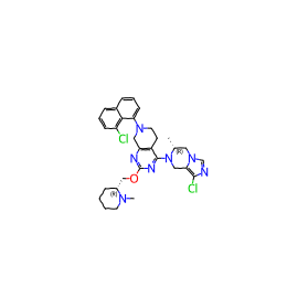 C[C@@H]1Cn2cnc(Cl)c2CN1c1nc(OC[C@H]2CCCCN2C)nc2c1CCN(c1cccc3cccc(Cl)c13)C2